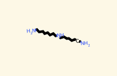 NCCCCCCC[CH]N[CH]CCCCCCCN